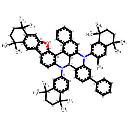 Cc1cc2c(cc1N1c3cc(-c4ccccc4)ccc3B3c4c1cc1ccccc1c4-c1c(ccc4c1oc1cc5c(cc14)C(C)(C)CCC5(C)C)N3c1ccc3c(c1)C(C)(C)CCC3(C)C)C(C)(C)CCC2(C)C